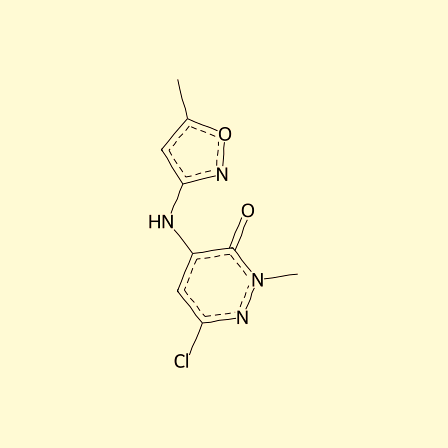 Cc1cc(Nc2cc(Cl)nn(C)c2=O)no1